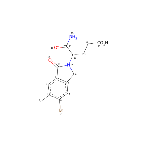 Cc1cc2c(cc1Br)CN([C@@H](CCC(=O)O)C(N)=O)C2=O